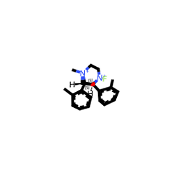 Cc1ccccc1[C@H]1[C@H](c2ccccc2C)[N+]2(F)CC[N+]1(C)CC2